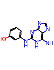 Nc1[nH]c(Nc2cccc(O)c2)nc2ncnc1-2